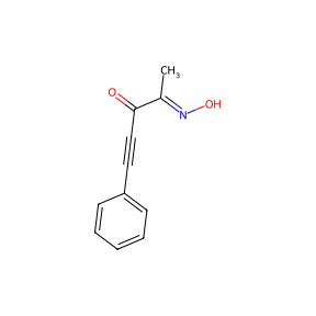 CC(=NO)C(=O)C#Cc1ccccc1